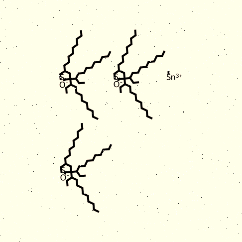 CCCCCCCCCC(CC)CC(C([O-])=S)(C(CC)CCCCCCCCC)C(CC)CCCCCCCCC.CCCCCCCCCC(CC)CC(C([O-])=S)(C(CC)CCCCCCCCC)C(CC)CCCCCCCCC.CCCCCCCCCC(CC)CC(C([O-])=S)(C(CC)CCCCCCCCC)C(CC)CCCCCCCCC.[CH3][Sn+3]